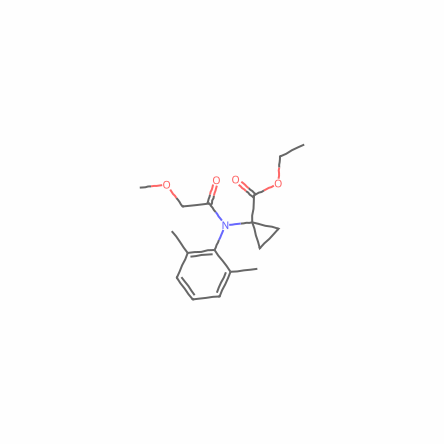 CCOC(=O)C1(N(C(=O)COC)c2c(C)cccc2C)CC1